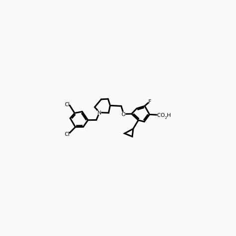 O=C(O)c1cc(C2CC2)c(OCC2CCCN(Cc3cc(Cl)cc(Cl)c3)C2)cc1F